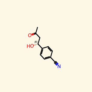 CC(=O)C[C@@H](O)c1ccc(C#N)cc1